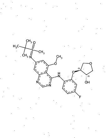 COc1cc(N=S(C)(=O)C(C)(C)C)cc2ncnc(Nc3ccc(F)cc3O[C@H]3COC[C@@H]3O)c12